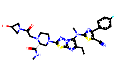 CCc1nc2sc(N3CCN(CC(=O)N4CC(O)C4)[C@@H](C(=O)NC)C3)nn2c1N(C)c1nc(-c2ccc(F)cc2)c(C#N)s1